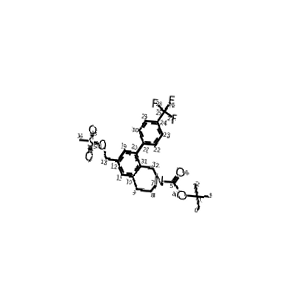 CC(C)(C)OC(=O)N1CCc2cc(COS(C)(=O)=O)cc(-c3ccc(C(F)(F)F)cc3)c2C1